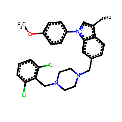 CCCCc1cn(-c2ccc(OC(F)(F)F)cc2)c2cc(CN3CCN(Cc4c(Cl)cccc4Cl)CC3)ccc12